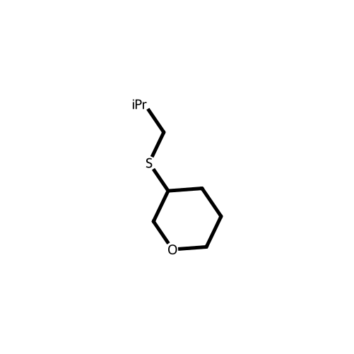 CC(C)CSC1CCCOC1